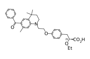 CCO[C@@H](Cc1ccc(OCCN2CCC(C)(C)c3cc(C(=O)c4ccccc4)c(C)cc32)cc1)C(=O)O